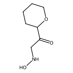 O=C(CNO)C1CCCCO1